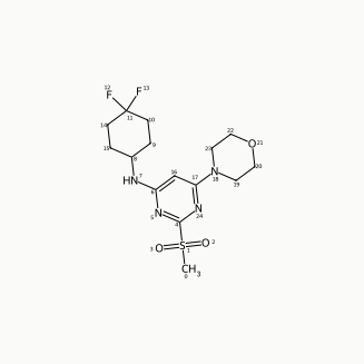 CS(=O)(=O)c1nc(NC2CCC(F)(F)CC2)cc(N2CCOCC2)n1